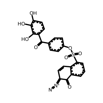 [N-]=[N+]=C1C=Cc2c(cccc2S(=O)(=O)Oc2ccc(C(=O)c3ccc(O)c(O)c3O)cc2)C1=O